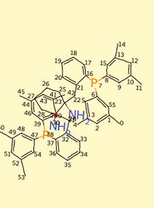 Cc1cc(C)cc(P(c2cc(C)cc(C)c2)c2ccccc2CC2(N)CCCCC2(N)Cc2ccccc2P(c2cc(C)cc(C)c2)c2cc(C)cc(C)c2)c1